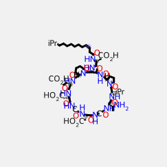 CC(C)CCCCCCC/C=C\CC(=O)N[C@@H](CC(=O)O)C(=O)N[C@@H]1C(=O)N2CCCC[C@@H]2C(=O)N[C@@H](C(C)C(=O)O)C(=O)N[C@@H](CC(=O)O)C(=O)NCC(=O)N[C@@H](CC(=O)O)C(=O)NCC(=O)N[C@H](C(C)N)C(=O)N[C@@H](C(C)C)C(=O)N2CCC[C@H]2C(=O)NC1C